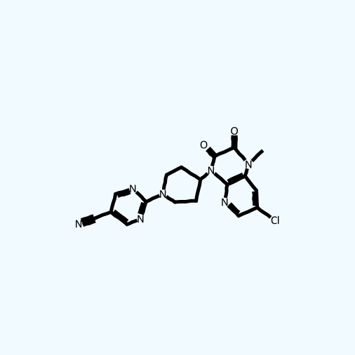 Cn1c(=O)c(=O)n(C2CCN(c3ncc(C#N)cn3)CC2)c2ncc(Cl)cc21